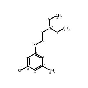 CCN(CC)CCSc1cc(N)cc(Cl)c1